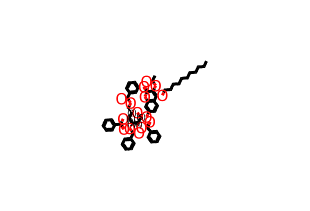 CCCCCCCCCCCOc1c(OC(C)=O)c(=O)oc2cc(O[C@@H]3O[C@H](COC(=O)c4ccccc4)[C@H](OC(=O)c4ccccc4)[C@H](OC(=O)c4ccccc4)[C@H]3OC(=O)c3ccccc3)ccc12